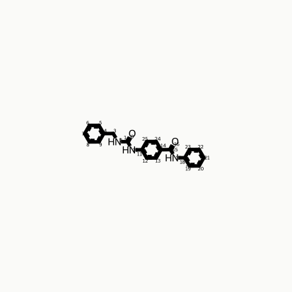 O=C(NCc1ccccc1)Nc1ccc(C(=O)Nc2[c]cccc2)cc1